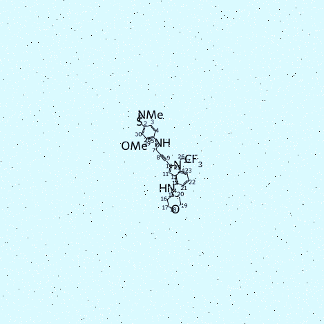 CNSc1ccc(NCC#Cc2cc3c(NC4CCOCC4)cccc3n2CC(F)(F)F)c(OC)c1